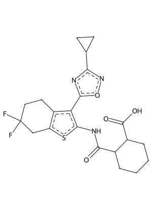 O=C(O)C1CCCCC1C(=O)Nc1sc2c(c1-c1nc(C3CC3)no1)CCC(F)(F)C2